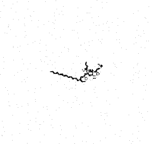 CCCCCCCCCCCCCC(CC)CC(=O)CC(CC(=O)P(O)C(=O)CCN(C)C)NC(=O)CCC